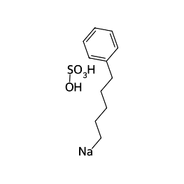 O=S(=O)(O)O.[Na][CH2]CCCCc1ccccc1